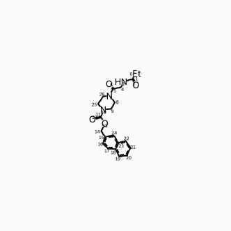 CCC(=O)NCC(=O)N1CCN(C(=O)OCc2ccc3ccccc3c2)CC1